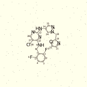 Fc1cccc(F)c1CNc1nc(Nc2cnn(Cc3ncco3)c2)ncc1Cl